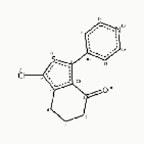 O=C1CCCc2c(Cl)sc(-c3ccncc3)c21